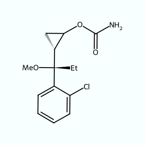 CC[C@](OC)(c1ccccc1Cl)[C@@H]1CC1OC(N)=O